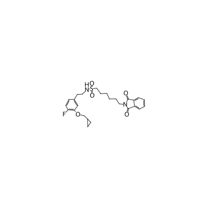 O=C1c2ccccc2C(=O)N1CCCCCCS(=O)(=O)NCCc1ccc(F)c(OCC2CC2)c1